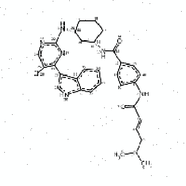 CN(C)CC=CC(=O)Nc1ccc(C(=O)N[C@H]2CCC[C@@H](Nc3ncc(Cl)c(-c4c[nH]c5ccccc45)n3)C2)cc1